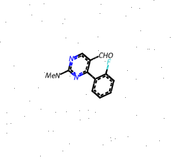 CNc1ncc(C=O)c(-c2ccccc2F)n1